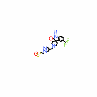 O=[S+]CCn1cc(CN2CCC3(CC2)C(=O)Nc2ccc(C(F)F)cc23)cn1